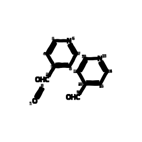 C=O.O=Cc1ccncc1.O=Cc1ccncc1